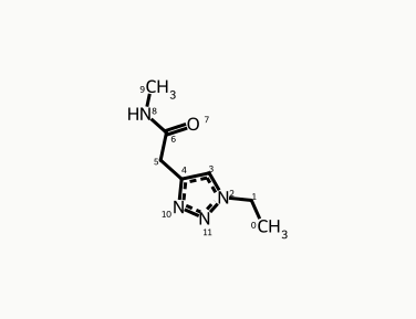 CCn1cc(CC(=O)NC)nn1